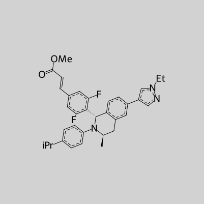 CCn1cc(-c2ccc3c(c2)C[C@@H](C)N(c2ccc(C(C)C)cc2)[C@@H]3c2c(F)cc(/C=C/C(=O)OC)cc2F)cn1